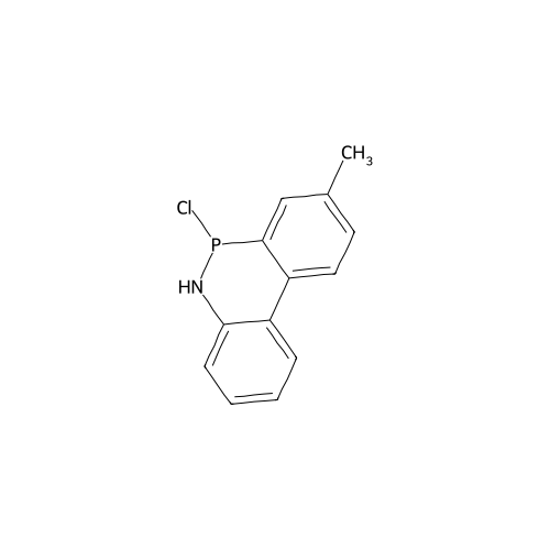 Cc1ccc2c(c1)P(Cl)Nc1ccccc1-2